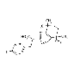 CC1(C)CCC(C)(C)c2cc(C(Cc3ccc(F)cc3)C(=O)O)ccc21